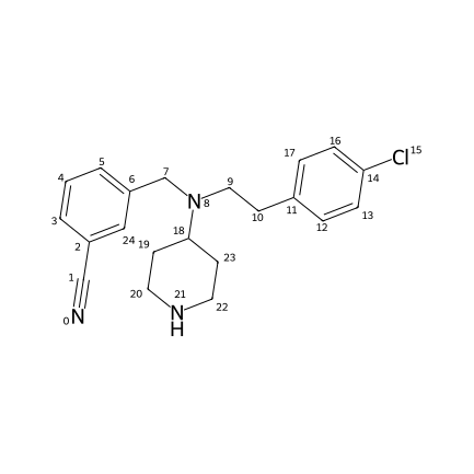 N#Cc1cccc(CN(CCc2ccc(Cl)cc2)C2CCNCC2)c1